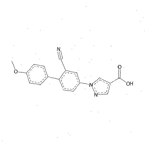 COc1ccc(-c2ccc(-n3cc(C(=O)O)cn3)cc2C#N)cc1